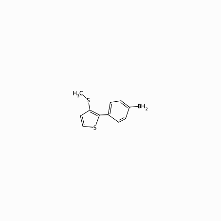 Bc1ccc(-c2sccc2SC)cc1